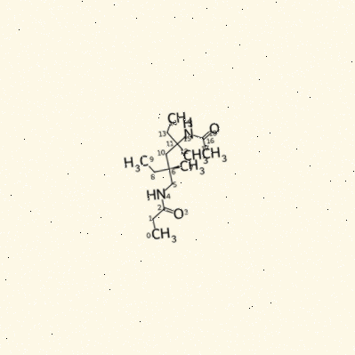 CCC(=O)NC[C@](C)(CC)CC(C)(CC)NC(C)=O